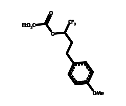 CCOC(=O)C(=O)OC(CCc1ccc(OC)cc1)C(F)(F)F